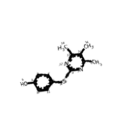 Cc1nc(Sc2ccc(O)cc2)nc(C)c1C